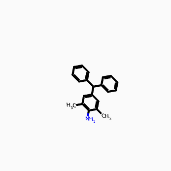 Cc1cc(C(c2ccccc2)c2ccccc2)cc(C)c1N